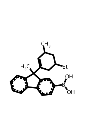 CCC1CC(C2(C)c3ccccc3-c3ccc(B(O)O)cc32)=CC(C)C1